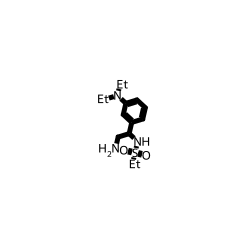 CCN(CC)c1cccc(C(CN)NS(=O)(=O)CC)c1